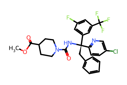 COC(=O)C1CCN(C(=O)N[C@](Cc2ccccc2)(c2cc(F)cc(C(F)(F)F)c2)c2ccc(Cl)cn2)CC1